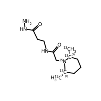 [13CH3][13C@@H]1CCC[13C@H]([13CH3])[15N]1CC(=O)NCCC(=O)NN